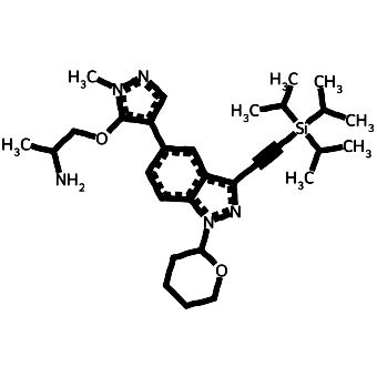 CC(N)COc1c(-c2ccc3c(c2)c(C#C[Si](C(C)C)(C(C)C)C(C)C)nn3C2CCCCO2)cnn1C